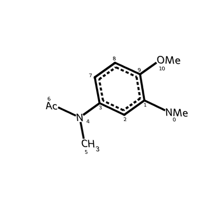 CNc1cc(N(C)C(C)=O)ccc1OC